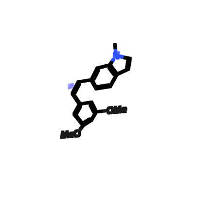 COc1cc(/C=C\c2ccc3ccn(C)c3c2)cc(OC)c1